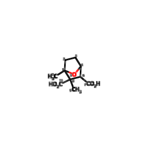 CC12CCC(O1)C(C(=O)O)C2(C)C(=O)O